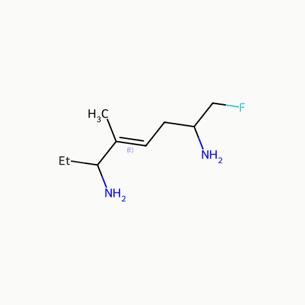 CCC(N)/C(C)=C/CC(N)CF